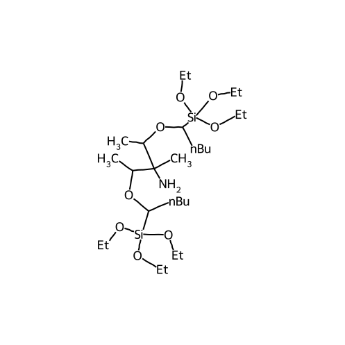 CCCCC(OC(C)C(C)(N)C(C)OC(CCCC)[Si](OCC)(OCC)OCC)[Si](OCC)(OCC)OCC